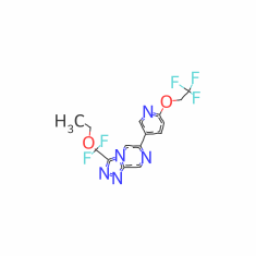 CCOC(F)(F)c1nnc2cnc(-c3ccc(OCC(F)(F)F)nc3)cn12